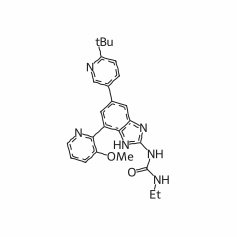 CCNC(=O)Nc1nc2cc(-c3ccc(C(C)(C)C)nc3)cc(-c3ncccc3OC)c2[nH]1